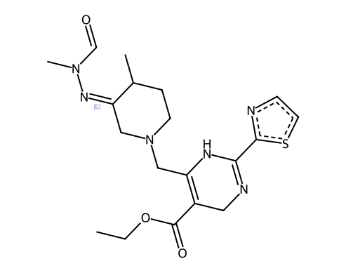 CCOC(=O)C1=C(CN2CCC(C)/C(=N\N(C)C=O)C2)NC(c2nccs2)=NC1